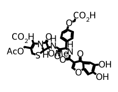 CO[C@@]1(NC(=O)C(NC(=O)c2coc3cc(O)c(O)cc3c2=O)c2ccc(OCC(=O)O)cc2)C(=O)N2C(C(=O)O)=C(COC(C)=O)CS[C@@H]21